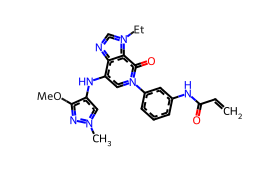 C=CC(=O)Nc1cccc(-n2cc(Nc3cn(C)nc3OC)c3ncn(CC)c3c2=O)c1